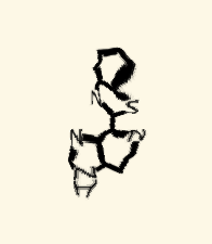 c1ccc2sc(C3=NCCc4[nH]cnc43)nc2c1